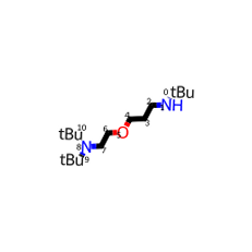 CC(C)(C)NCCCOCCN(C(C)(C)C)C(C)(C)C